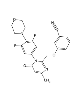 Cc1cc(=O)n(-c2cc(F)c(N3CCOCC3)c(F)c2)c(COc2cccc(C#N)c2)n1